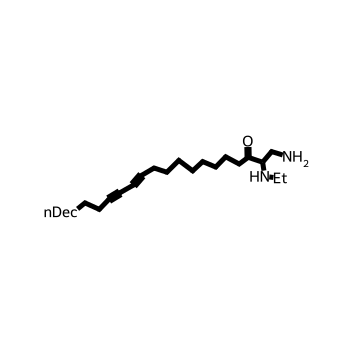 CCCCCCCCCCCCC#CC#CCCCCCCCCC(=O)C(CN)NCC